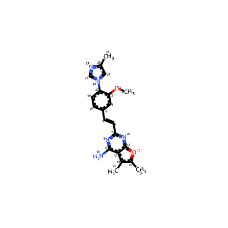 COc1cc(/C=C/c2nc(N)c3c(C)c(C)oc3n2)ccc1-n1cnc(C)c1